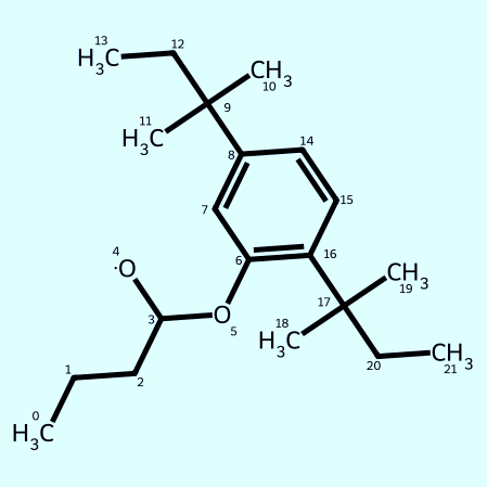 CCCC([O])Oc1cc(C(C)(C)CC)ccc1C(C)(C)CC